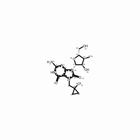 Nc1nc2c(c(=O)[nH]1)n(CC1(C(F)(F)F)CC1)c(=O)n2[C@@H]1O[C@H](CO)[C@@H](F)[C@H]1O